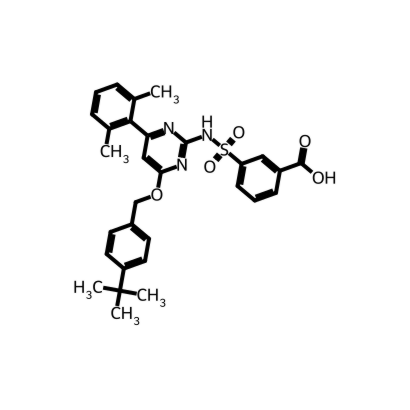 Cc1cccc(C)c1-c1cc(OCc2ccc(C(C)(C)C)cc2)nc(NS(=O)(=O)c2cccc(C(=O)O)c2)n1